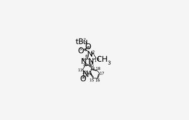 C[C@H]1CN(C(=O)OC(C)(C)C)c2nc3c[n+]([O-])c4ccccc4c3n21